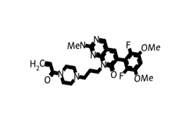 C=CC(=O)N1CCN(CCCn2c(=O)c(-c3c(F)c(OC)cc(OC)c3F)cc3cnc(NC)nc32)CC1